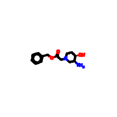 N[C@H]1CN(CC(=O)OCc2ccccc2)CC[C@@H]1O